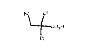 CCC(CC)(CC#N)C(=O)O